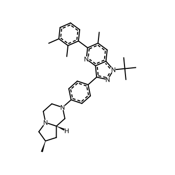 Cc1cc2c(nc1-c1cccc(C)c1C)c(-c1ccc(N3CCN4C[C@H](C)C[C@H]4C3)cc1)nn2C(C)(C)C